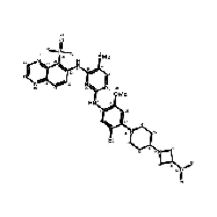 CCc1cc(Nc2ncc(SC)c(Nc3ccc4nccnc4c3P(C)(C)=O)n2)c(OC)cc1N1CCC(N2CC(N(C)C)C2)CC1